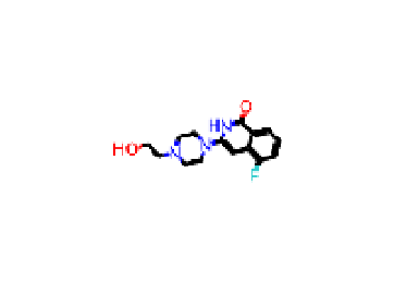 O=c1[nH]c(N2CCN(CCO)CC2)cc2c(F)cccc12